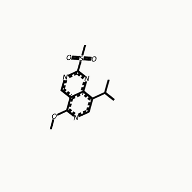 COc1ncc(C(C)C)c2nc(S(C)(=O)=O)ncc12